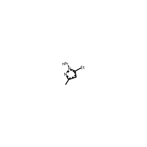 CCCn1nc(C)cc1CC